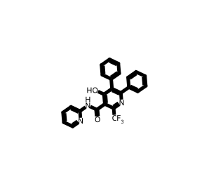 O=C(Nc1ccccn1)c1c(C(F)(F)F)nc(-c2ccccc2)c(-c2ccccc2)c1O